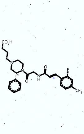 O=C(O)CCCN1CCN(C(=O)CNC(=O)/C=C/c2ccc(C(F)(F)F)cc2F)[C@H](c2ccccc2)C1